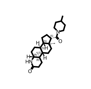 CC1CCN(C(=O)[C@H]2CC[C@H]3[C@@H]4CC[C@H]5NC(=O)CC[C@]5(C)[C@H]4CC[C@]23C)CC1